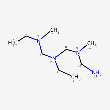 CCN(C)CN(CC)CN(C)CN